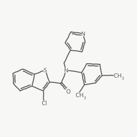 Cc1ccc(N(Cc2ccncc2)C(=O)c2sc3ccccc3c2Cl)c(C)c1